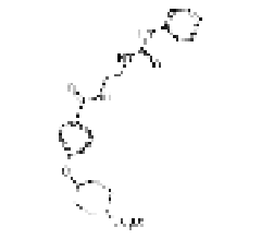 CCOC(=O)C1CCC(Oc2ccc(C(=O)NCCNC(=O)Nc3ccccc3)cc2)CC1